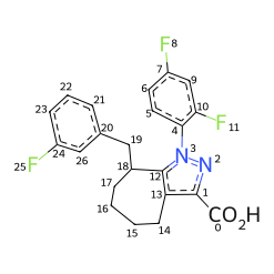 O=C(O)c1nn(-c2ccc(F)cc2F)c2c1CCCCC2Cc1cccc(F)c1